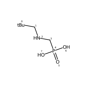 CC(C)(C)CNCP(=O)(O)O